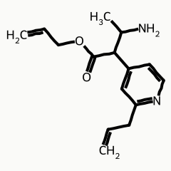 C=CCOC(=O)C(c1ccnc(CC=C)c1)C(C)N